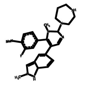 CNc1ccc(C2=C(C3=CC4=CN(C)NC4C=C3)C=NC(N3CCCNCC3)N2C)cc1F